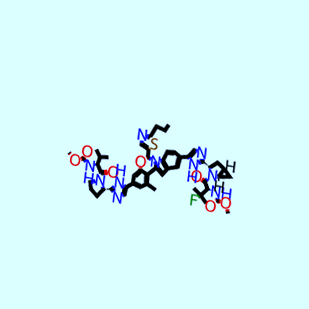 CCCc1ncc(C2Oc3cc(-c4cnc([C@@H]5CCCN5C(=O)[C@@H](NC(=O)OC)C(C)C)[nH]4)cc(C)c3-c3cc4cc(-c5cnc([C@@H]6C[C@H]7C[C@H]7N6C(=O)[C@H](NC(=O)OC)C(C)(C)F)[nH]5)ccc4n32)s1